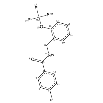 Cc1ccc(C(=O)NCc2ccccc2OC(F)(F)F)cc1